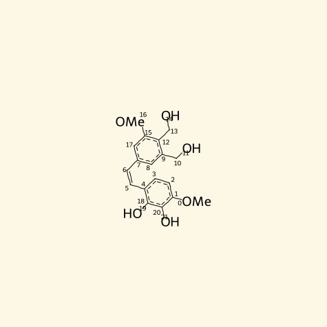 COc1ccc(/C=C\c2cc(CO)c(CO)c(OC)c2)c(O)c1O